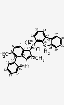 CC1=Cc2c(ccc(C)c2-c2ccccc2C(C)C)[CH]1[Zr]([Cl])([Cl])[c]1cccc2c1[SiH2]c1ccccc1-2